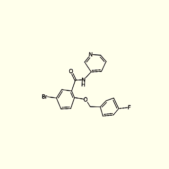 O=C(Nc1cccnc1)c1cc(Br)ccc1OCc1ccc(F)cc1